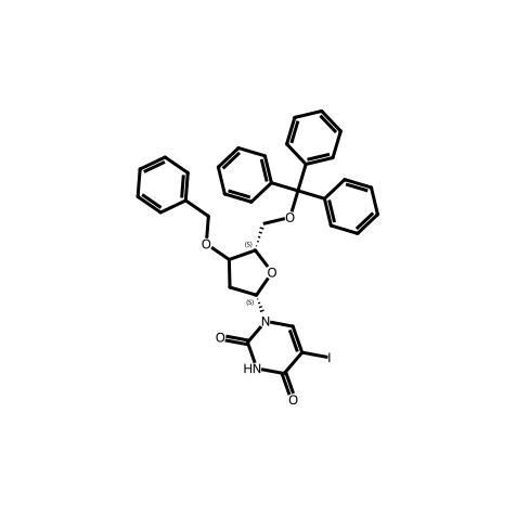 O=c1[nH]c(=O)n([C@@H]2CC(OCc3ccccc3)[C@H](COC(c3ccccc3)(c3ccccc3)c3ccccc3)O2)cc1I